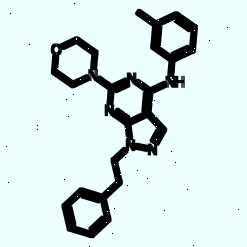 Cc1cccc(Nc2nc(N3CCOCC3)nc3c2cnn3CCc2ccccc2)c1